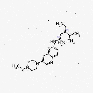 CSN1CCN(c2cnc3ccc(N/C(N)=C/C(=C\N)C(C)C)nc3c2)CC1